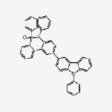 O=P1(c2ccccc2)c2ccccc2-c2cc(-c3ccc4c(c3)c3ccccc3n4-c3ccccc3)ccc2N1c1ccccc1